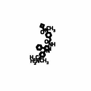 CN(C(=O)C1CCC1)C1CCC(CC(=O)Nc2cc(-c3ccccc3)c(-c3ccc(C(C)(C)N)cc3)nn2)CC1